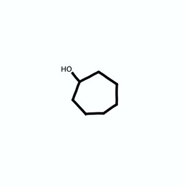 OC1C[CH]CCCC1